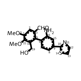 COc1cc(C=O)c(-c2ccc(-c3nccs3)cc2N)c(CO)c1OC